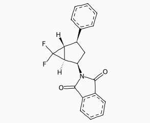 O=C1c2ccccc2C(=O)N1[C@@H]1C[C@H](c2ccccc2)[C@@H]2[C@@H]1C2(F)F